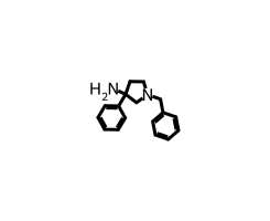 NC1(c2ccccc2)CCN(Cc2ccccc2)C1